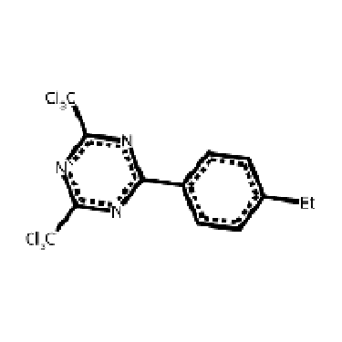 CCc1ccc(-c2nc(C(Cl)(Cl)Cl)nc(C(Cl)(Cl)Cl)n2)cc1